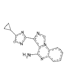 Nc1nc2ccccc2n2cnc(-c3noc(C4CC4)n3)c12